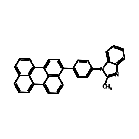 Cc1nc2ccccc2n1-c1ccc(-c2ccc3c4cccc5cccc(c6cccc2c63)c54)cc1